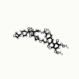 CNc1ncc2cc(-c3c(Cl)c(OC)cc(OC)c3Cl)c(=O)n(CCOC3CN(C(=O)/C(C#N)=C\C(C)(C)N4CCN(C5COC5)CC4)C3)c2n1